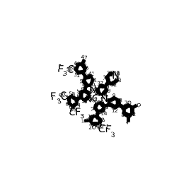 Cc1cc(C)cc(-c2ccc3c(c2)c2cc(-c4cc(C)cc(C(F)(F)F)c4)ccc2n3-c2cc(-c3ccncc3)cc(-n3c4ccc(-c5cc(C)cc(C(F)(F)F)c5)cc4c4cc(-c5cc(C(F)(F)F)cc(C(F)(F)F)c5)ccc43)c2C#N)c1